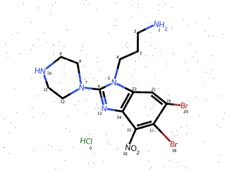 Cl.NCCCn1c(N2CCNCC2)nc2c([N+](=O)[O-])c(Br)c(Br)cc21